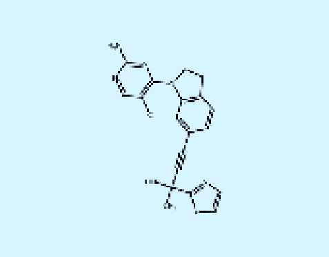 CC(O)(C#Cc1ccc2c(c1)N(c1nc(N)ncc1Cl)CC2)c1nccs1